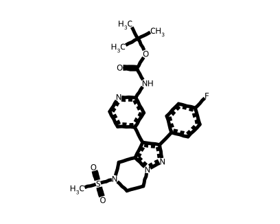 CC(C)(C)OC(=O)Nc1cc(-c2c(-c3ccc(F)cc3)nn3c2CN(S(C)(=O)=O)CC3)ccn1